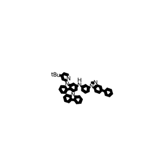 CC(C)(C)c1ccnc(-n2c3ccccc3c3c(-n4c5ccccc5c5ccccc54)cc(Nc4cccc(-n5cnc6cc(-c7ccccc7)ccc65)c4)cc32)c1